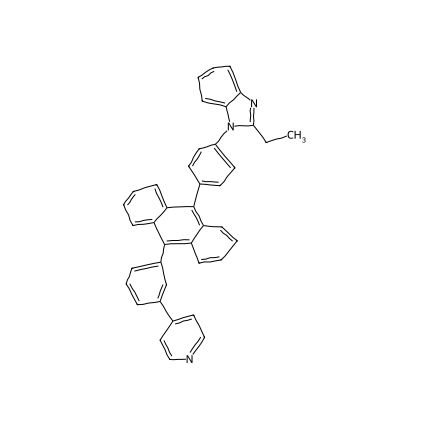 CCc1nc2ccccc2n1-c1ccc(-c2c3ccccc3c(-c3cccc(-c4ccncc4)c3)c3ccccc23)cc1